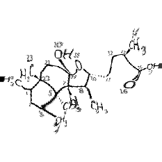 CC1CC(C)[C@]2(C)[C@H]3[C@H](C)[C@@H](CC[C@@H](C)C(=O)O)O[C@@]3(O)C[C@@]12C